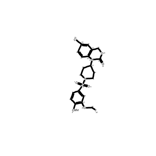 COc1ccc(S(=O)(=O)N2CCC(N3C(=O)OCc4cc(Cl)ccc43)CC2)cc1OCF